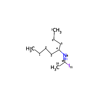 CCCCC(CCC)/N=C(\C)I